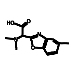 Cc1ccc2oc(C(C(=O)O)N(C)C)nc2c1